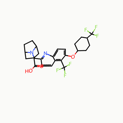 O=C(O)C1CC2CCC(C1)N2Cc1ccc2c(C(F)(F)F)c(OC3CCC(C(F)(F)F)CC3)ccc2n1